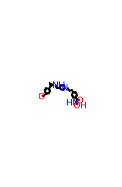 O=Cc1ccc(C2CC2NCC2CCN(CCCc3ccc(C(=O)NO)cc3)CC2)cc1